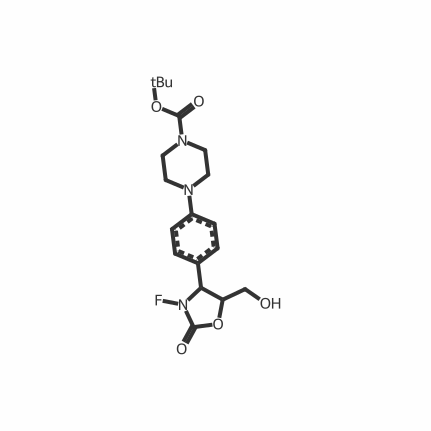 CC(C)(C)OC(=O)N1CCN(c2ccc(C3C(CO)OC(=O)N3F)cc2)CC1